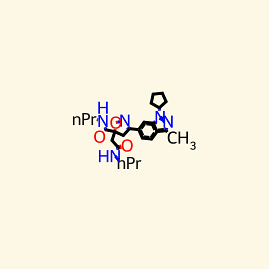 CCCNC(=O)CC1(C(=O)NCCC)CC(c2ccc3c(C)nn(C4CCCC4)c3c2)=NO1